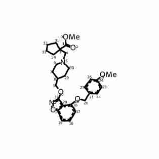 COC(=O)C1(CN2CCC(COc3noc4cccc(OCc5ccc(OC)cc5)c34)CC2)CCCC1